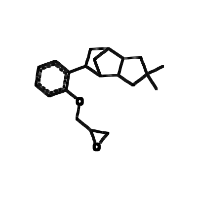 CC1(C)CC2C3CC(c4ccccc4OCC4CO4)C(C3)C2C1